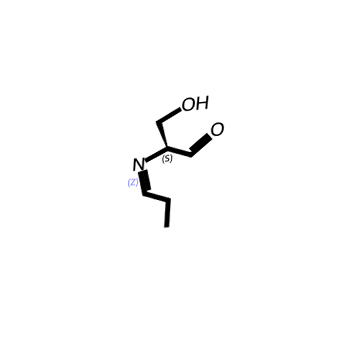 CC/C=N\[C@H](C=O)CO